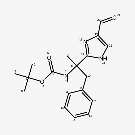 CC(C)(C)OC(=O)NC(C)(Cc1ccccc1)c1nc(C=O)c[nH]1